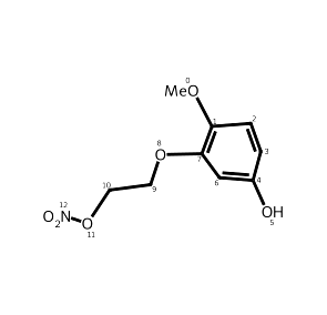 COc1ccc(O)cc1OCCO[N+](=O)[O-]